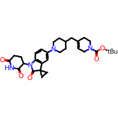 CC(C)(C)OC(=O)N1CC=C(CC2CCN(c3ccc4c(c3)C3(CC3)C(=O)N4C3CCC(=O)NC3=O)CC2)CC1